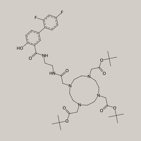 CC(C)(C)OC(=O)CN1CCN(CC(=O)NCCNC(=O)c2cc(-c3ccc(F)cc3F)ccc2O)CCN(CC(=O)OC(C)(C)C)CCN(CC(=O)OC(C)(C)C)CC1